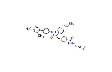 Cc1ccc(-c2ccc(NC(=O)C(Cc3ccc(C(=O)NCCS(=O)(=O)O)cc3)c3ccc(/C=C/C(C)(C)C)cc3)cc2)c(C)c1